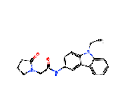 O=C(CN1CCCC1=O)Nc1ccc2c(c1)c1ccccc1n2CC(F)(F)F